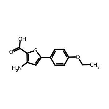 CCOc1ccc(-c2cc(N)c(C(=O)O)s2)cc1